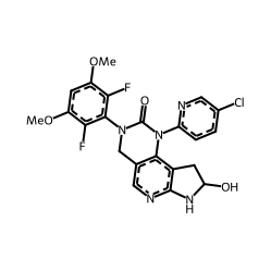 COc1cc(OC)c(F)c(N2Cc3cnc4c(c3N(c3ccc(Cl)cn3)C2=O)CC(O)N4)c1F